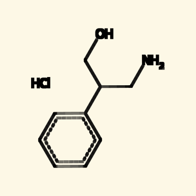 Cl.NCC(CO)c1ccccc1